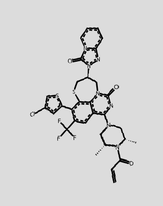 C=CC(=O)N1[C@H](C)CN(c2nc(=O)n3c4c(c(-c5cc(Cl)cs5)c(C(F)(F)F)cc24)SC[C@@H](n2nc4ccccn4c2=O)C3)C[C@@H]1C